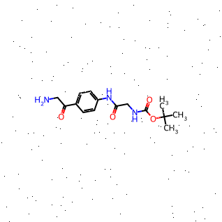 CC(C)(C)OC(=O)NCC(=O)Nc1ccc(C(=O)CN)cc1